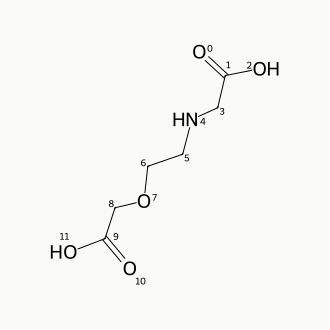 O=C(O)CNCCOCC(=O)O